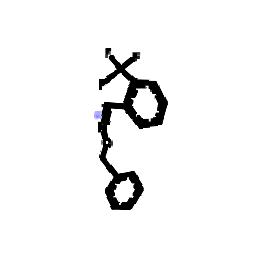 FC(F)(F)c1ccccc1/[C]=N\OCc1ccccc1